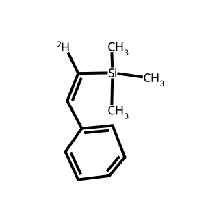 [2H]C(=Cc1ccccc1)[Si](C)(C)C